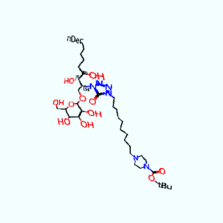 CCCCCCCCCCCCCC[C@@H](O)[C@@H](O)[C@H](COC1OC(CO)C(O)C(O)C1O)n1nnn(CCCCCCCCCCN2CCN(C(=O)OC(C)(C)C)CC2)c1=O